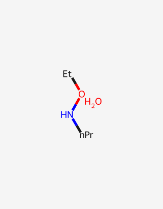 CCCNOCC.O